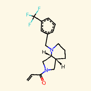 C=CC(=O)N1C[C@H]2CCCN(Cc3cccc(C(F)(F)F)c3)[C@H]2C1